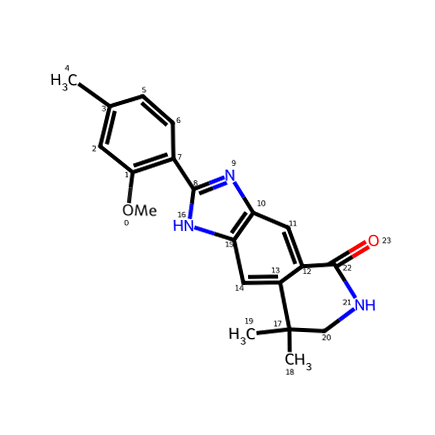 COc1cc(C)ccc1-c1nc2cc3c(cc2[nH]1)C(C)(C)CNC3=O